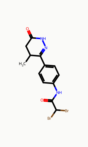 CC1CC(=O)NN=C1c1ccc(NC(=O)C(Br)Br)cc1